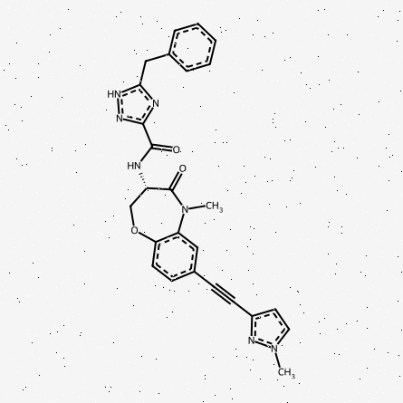 CN1C(=O)[C@@H](NC(=O)c2n[nH]c(Cc3ccccc3)n2)COc2ccc(C#Cc3ccn(C)n3)cc21